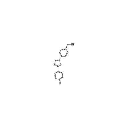 Fc1ccc(-c2ncc(-c3ccc(CBr)cc3)s2)cc1